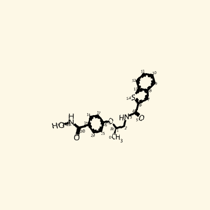 C[C@H](CNC(=O)c1cc2ccccc2s1)Oc1ccc(C(=O)NO)cc1